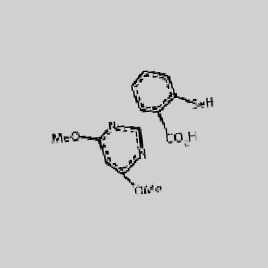 COc1cc(OC)ncn1.O=C(O)c1ccccc1[SeH]